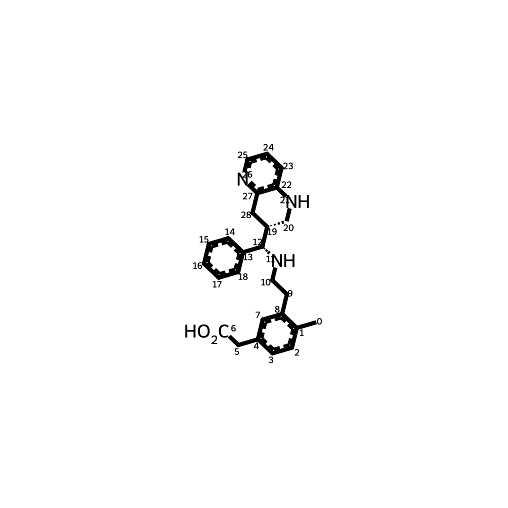 Cc1ccc(CC(=O)O)cc1CCN[C@H](c1ccccc1)[C@H]1CNc2cccnc2C1